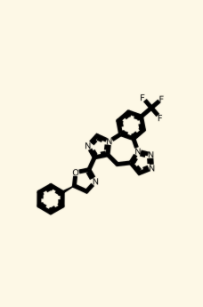 FC(F)(F)c1ccc2c(c1)-n1nncc1Cc1c(C3=NC[C@@H](c4ccccc4)O3)ncn1-2